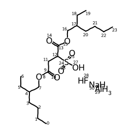 CCCCC(CC)COC(=O)CC(C(=O)OCC(CC)CCCC)S(=O)(=O)O.F.[AlH3].[NaH]